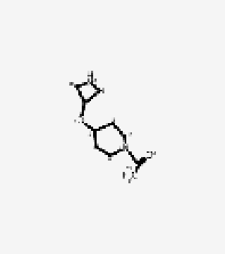 O=C(N1CCC(OC2CNC2)CC1)C(F)(F)F